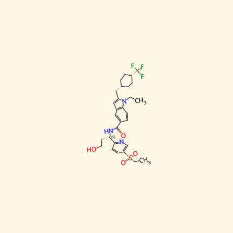 CCn1c(C[C@H]2CC[C@@H](C(F)(F)F)CC2)cc2cc(C(=O)N[C@@H](CCO)c3ccc(S(=O)(=O)CC)cn3)ccc21